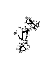 CC(C)CC1CC(C(N)CNC(=O)C2(c3ccc(F)cc3)CC2)CC(C)(C(=O)Nc2ccncc2)C1